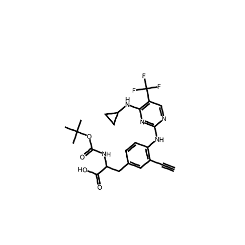 C#Cc1cc(CC(NC(=O)OC(C)(C)C)C(=O)O)ccc1Nc1ncc(C(F)(F)F)c(NC2CC2)n1